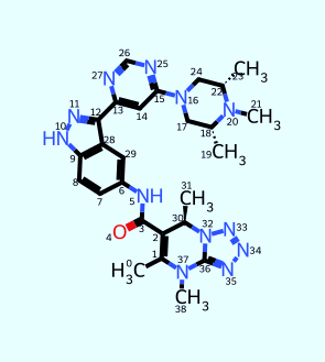 CC1=C(C(=O)Nc2ccc3[nH]nc(-c4cc(N5C[C@@H](C)N(C)[C@@H](C)C5)ncn4)c3c2)[C@@H](C)n2nnnc2N1C